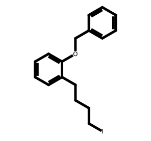 ICCCCc1ccccc1OCc1ccccc1